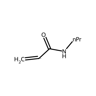 C=[C]C(=O)NCCC